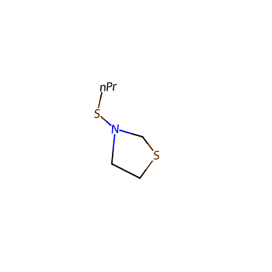 [CH2]CCSN1CCSC1